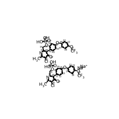 Cc1[n-]c(COP(=O)(O)O)c(-c2ccc(Oc3ccc(OC(F)(F)F)cc3)cc2)c(=O)c1Cl.Cc1[n-]c(COP(=O)(O)O)c(-c2ccc(Oc3ccc(OC(F)(F)F)cc3)cc2)c(=O)c1Cl.[Na+].[Na+]